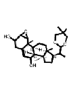 CC(C1OCC(C)(C)CO1)[C@H]1CC[C@H]2[C@@H]3C(O)C=C4CC(O)C5OC5[C@]4(C)[C@H]3CC[C@]12C